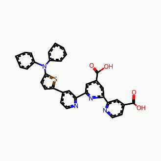 O=C(O)c1ccnc(-c2cc(C(=O)O)cc(-c3cc(-c4ccc(N(c5ccccc5)c5ccccc5)s4)ccn3)n2)c1